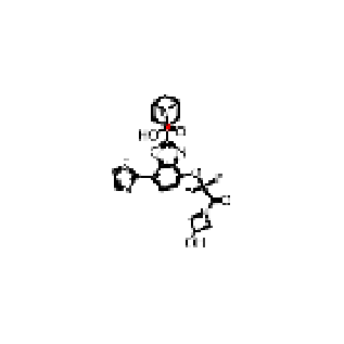 O=C(O)N1C2CC1CN(c1nc3c(OC(F)(F)C(=O)N4CC(O)C4)ccc(-c4nccs4)c3o1)C2